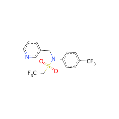 O=S(=O)(CC(F)(F)F)N(Cc1cccnc1)c1ccc(C(F)(F)F)cc1